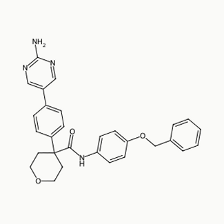 Nc1ncc(-c2ccc(C3(C(=O)Nc4ccc(OCc5ccccc5)cc4)CCOCC3)cc2)cn1